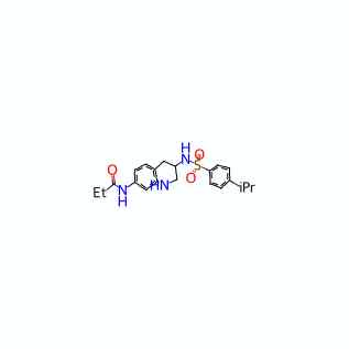 CCC(=O)Nc1ccc2c(c1)NCC(NS(=O)(=O)c1ccc(C(C)C)cc1)C2